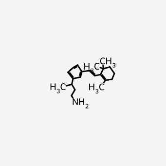 CC1=C(C=Cc2cccc(C(C)CCN)c2)C(C)(C)CCC1